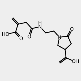 C=C(CC(=O)NCCN1CC(C(=C)O)CC1=O)C(=O)O